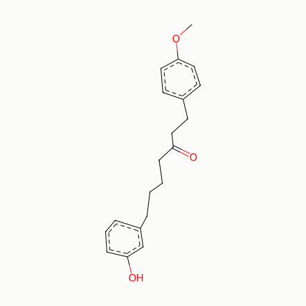 COc1ccc(CCC(=O)CCCCc2cccc(O)c2)cc1